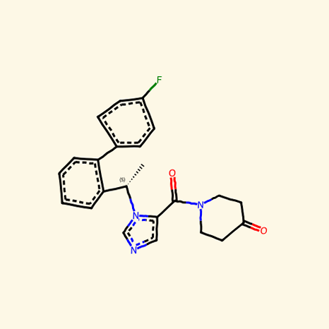 C[C@@H](c1ccccc1-c1ccc(F)cc1)n1cncc1C(=O)N1CCC(=O)CC1